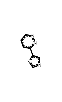 c1cnnc(-c2cncs2)c1